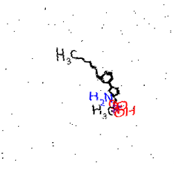 CCCCCCCCc1cccc(C2CCC(N)(COP(C)(=O)O)C2)c1